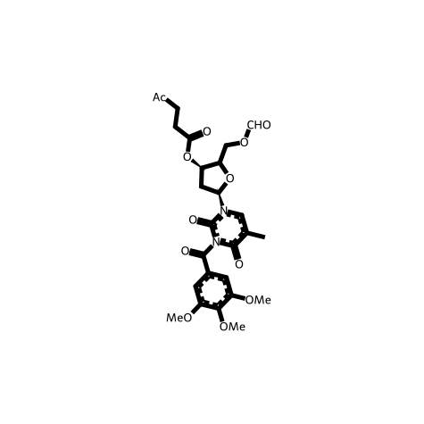 COc1cc(C(=O)n2c(=O)c(C)cn([C@H]3C[C@@H](OC(=O)CCC(C)=O)C(COC=O)O3)c2=O)cc(OC)c1OC